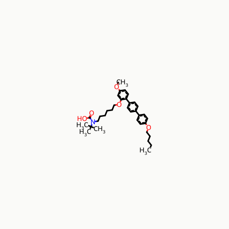 CCCCCOc1ccc(-c2ccc(-c3ccc(OC)cc3OCCCCCCN(C(=O)O)C(C)(C)C)cc2)cc1